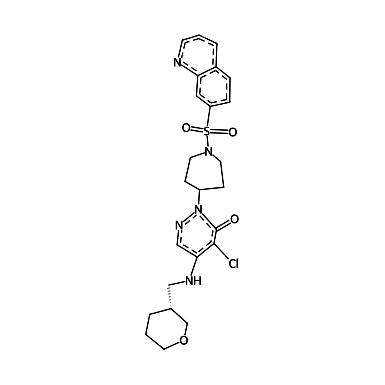 O=c1c(Cl)c(NC[C@H]2CCCOC2)cnn1C1CCN(S(=O)(=O)c2ccc3cccnc3c2)CC1